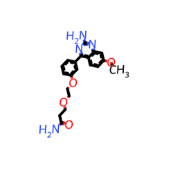 COc1ccc2c(-c3cccc(OCCOCCC(N)=O)c3)nc(N)nc2c1